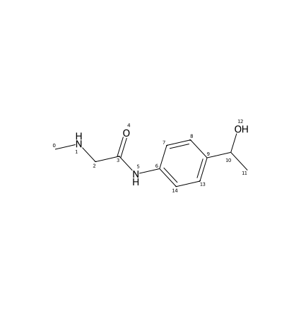 CNCC(=O)Nc1ccc(C(C)O)cc1